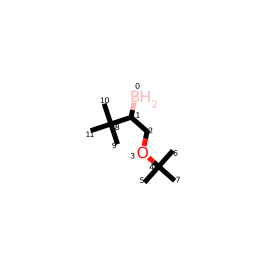 BC(COC(C)(C)C)C(C)(C)C